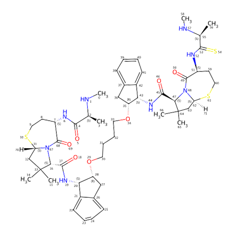 CN[C@@H](C)C(=O)N[C@H]1CCS[C@H]2CC(C)(C)[C@@H](C(=O)N[C@H]3c4ccccc4C[C@H]3OCCCCO[C@@H]3Cc4ccccc4[C@@H]3NC(=O)[C@H]3N4C(=O)[C@@H](NC(=S)[C@H](C)NC)CCS[C@H]4CC3(C)C)N2C1=O